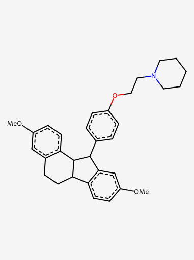 COc1ccc2c(c1)CCC1c3ccc(OC)cc3C(c3ccc(OCCN4CCCCC4)cc3)C21